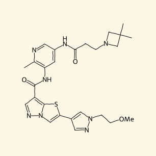 COCCn1cc(-c2cn3ncc(C(=O)Nc4cc(NC(=O)CCN5CC(C)(C)C5)cnc4C)c3s2)cn1